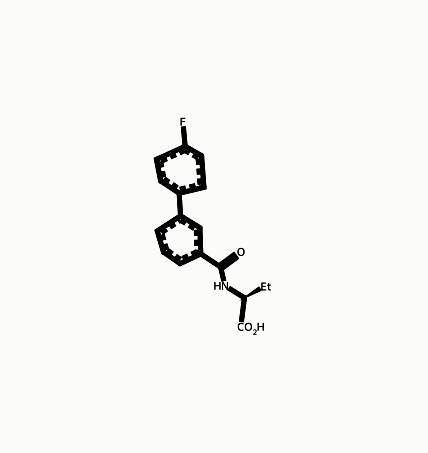 CC[C@H](NC(=O)c1cccc(-c2ccc(F)cc2)c1)C(=O)O